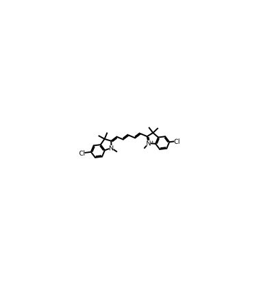 CN1C(=CC=CC=CC2=[N+](C)c3ccc(Cl)cc3C2(C)C)C(C)(C)c2cc(Cl)ccc21